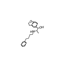 CC(NCCCCc1ccccc1)C(O)c1ccc2c(c1)CCO2